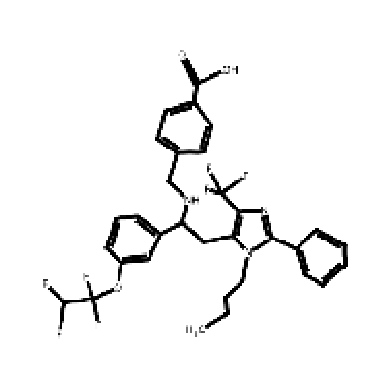 CCCCn1c(-c2ccccc2)nc(C(F)(F)F)c1CC(NCc1ccc(C(=O)O)cc1)c1cccc(OC(F)(F)C(F)F)c1